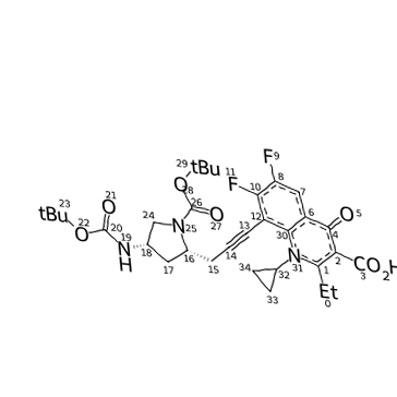 CCc1c(C(=O)O)c(=O)c2cc(F)c(F)c(C#CC[C@@H]3C[C@H](NC(=O)OC(C)(C)C)CN3C(=O)OC(C)(C)C)c2n1C1CC1